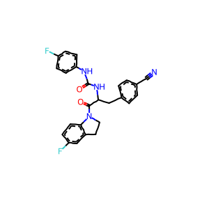 N#Cc1ccc(CC(NC(=O)Nc2ccc(F)cc2)C(=O)N2CCc3cc(F)ccc32)cc1